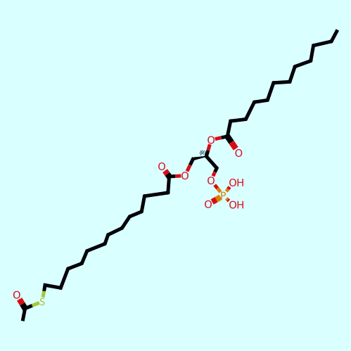 CCCCCCCCCCCC(=O)O[C@H](COC(=O)CCCCCCCCCCCCSC(C)=O)COP(=O)(O)O